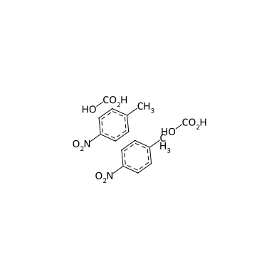 Cc1ccc([N+](=O)[O-])cc1.Cc1ccc([N+](=O)[O-])cc1.O=C(O)O.O=C(O)O